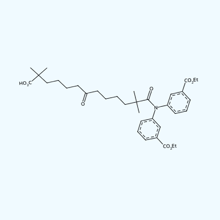 CCOC(=O)c1cccc(N(C(=O)C(C)(C)CCCCC(=O)CCCCC(C)(C)C(=O)O)c2cccc(C(=O)OCC)c2)c1